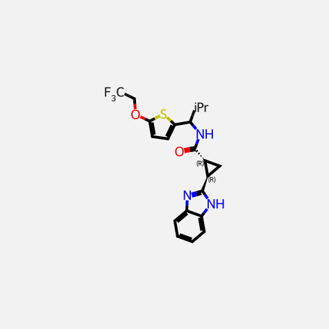 CC(C)C(NC(=O)[C@@H]1C[C@H]1c1nc2ccccc2[nH]1)c1ccc(OCC(F)(F)F)s1